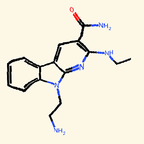 CCNc1nc2c(cc1C(N)=O)c1ccccc1n2CCN